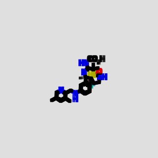 Cc1cnc(CNc2ccc(F)c([C@@]3(C)N=C(NC(=O)O)C(C)(C)[SH]4(=O)NCC[C@@H]34)c2)c(C)c1